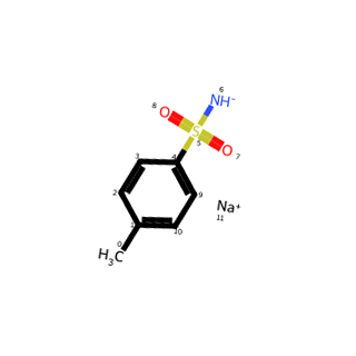 Cc1ccc(S([NH-])(=O)=O)cc1.[Na+]